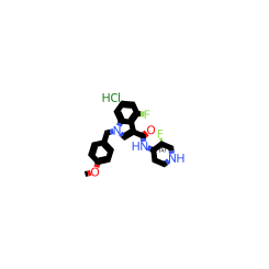 COc1ccc(Cn2cc(C(=O)NC3CCNC[C@@H]3F)c3c(F)cccc32)cc1.Cl